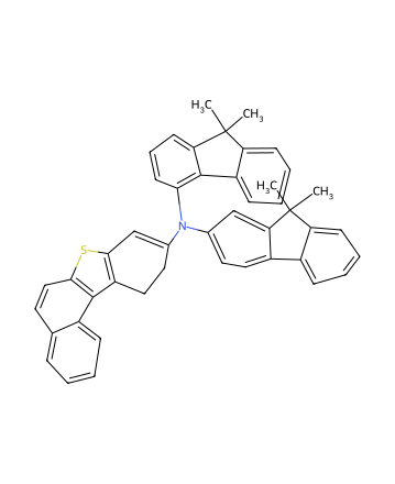 CC1(C)c2ccccc2-c2ccc(N(C3=Cc4sc5ccc6ccccc6c5c4CC3)c3cccc4c3-c3ccccc3C4(C)C)cc21